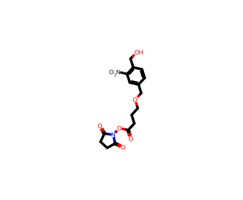 O=C(CCCOCc1ccc(CO)c([N+](=O)[O-])c1)ON1C(=O)CCC1=O